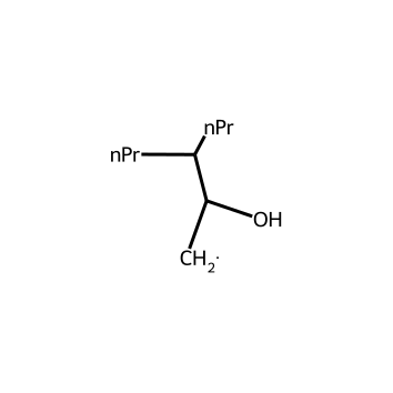 [CH2]C(O)C(CCC)CCC